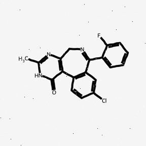 Cc1nc2c(c(=O)[nH]1)-c1ccc(Cl)cc1C(c1ccccc1F)=NC2